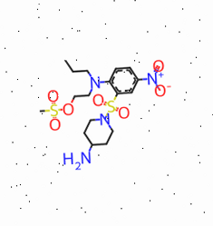 CCCN(CCOS(C)(=O)=O)c1ccc([N+](=O)[O-])cc1S(=O)(=O)N1CCC(N)CC1